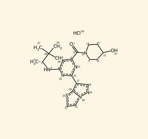 C[C@@H](Nc1cc(C(=O)N2CCC(O)CC2)nc(-c2cnn3ccsc23)n1)C(C)(C)C.Cl